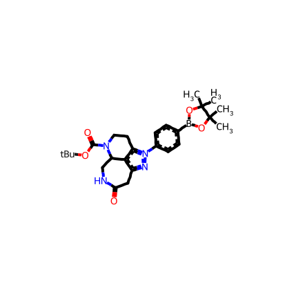 CC(C)(C)OC(=O)N1CCc2c3c(nn2-c2ccc(B4OC(C)(C)C(C)(C)O4)cc2)CC(=O)NCC31